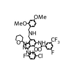 COc1ccc(CNCc2cc(NC(=O)c3cc(F)cc(C(F)(F)F)c3)c(Oc3cc(F)ccc3Cl)c3c(N)nn(C4CCCCO4)c23)c(OC)c1